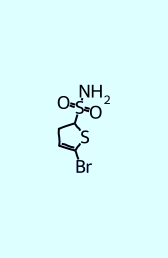 NS(=O)(=O)C1CC=C(Br)S1